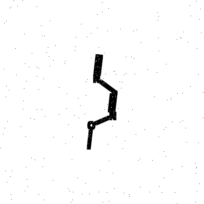 C=N/C=N\OC